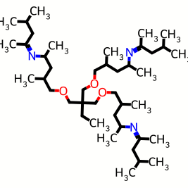 CCC(COCC(C)CC(C)N=C(C)CC(C)C)(COCC(C)CC(C)N=C(C)CC(C)C)COCC(C)CC(C)N=C(C)CC(C)C